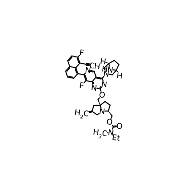 C#Cc1c(F)ccc2cccc(-c3ncc4c(N5C[C@H]6CC[C@@H](C5)N6)nc(OC[C@@]56CC[C@@H](COC(=O)N(C)CC)N5CC(=C)C6)nc4c3F)c12